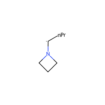 CCC[CH]N1CCC1